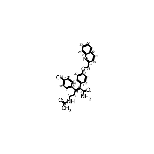 CC(=O)NCCC(=C(C(N)=O)c1ccc(OCc2ccc3ccccc3n2)cc1)c1ccc(Cl)cc1